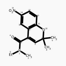 CCN(C)C(=O)C1=CC(C)(C)Oc2ccc([N+](=O)[O-])cc21